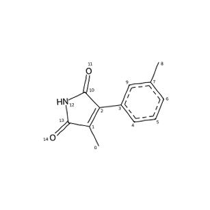 CC1=C(c2cccc(C)c2)C(=O)NC1=O